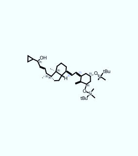 C=C1/C(=C\C=C2/CCC[C@]3(C)[C@@H]([C@H](C)C=C[C@H](O)C4CC4)CC[C@@H]23)C[C@H](O[Si](C)(C)C(C)(C)C)C[C@H]1O[Si](C)(C)C(C)(C)C